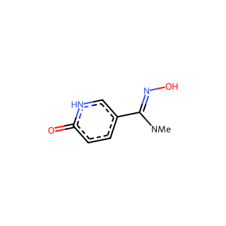 CNC(=NO)c1ccc(=O)[nH]c1